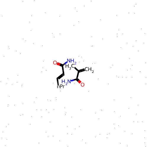 C=C(C)C(N)=O.CCCC=CC(N)=O